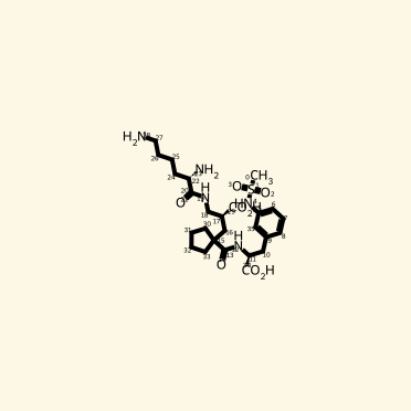 CS(=O)(=O)Nc1cccc(C[C@H](NC(=O)C2(C[C@@H](CNC(=O)[C@@H](N)CCCCN)C(=O)O)CCCC2)C(=O)O)c1